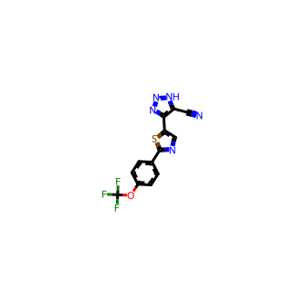 N#Cc1[nH]nnc1-c1cnc(-c2ccc(OC(F)(F)F)cc2)s1